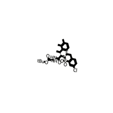 Cc1ccc(F)c(C(C)[C@@H](C(=O)NNC(=O)OC(C)(C)C)N2CCc3ccc(Cl)cc3S2(=O)=O)c1C